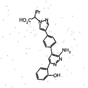 CC(C)C(C(=O)O)n1cc(-c2ccc(-c3cc(-c4ccccc4O)nnc3N)cc2)cn1